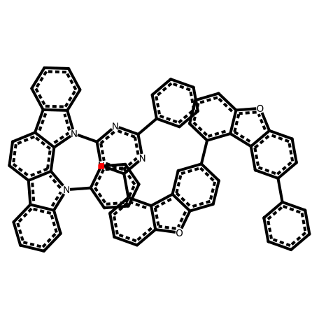 c1ccc(-c2ccc3oc4cccc(-c5ccc6oc7cccc(-c8nc(-c9ccccc9)nc(-n9c%10ccccc%10c%10ccc%11c%12ccccc%12n(-c%12ccccc%12)c%11c%109)n8)c7c6c5)c4c3c2)cc1